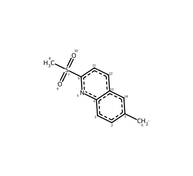 [CH2]c1ccc2nc(S(C)(=O)=O)ccc2c1